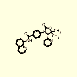 CC1(C)OC(=O)N(c2ccc(C(=O)Nc3cccc4cccnc34)cc2)[C@@H]1c1ccccn1